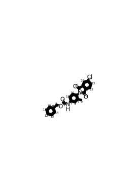 Cc1cc(NC(=O)OCc2ccccc2)ccc1N1C(=O)c2ccc(Cl)cc2C1=O